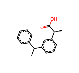 CC(c1ccccc1)c1cccc([C@H](C)C(=O)O)c1